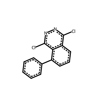 Clc1nnc(Cl)c2c(-c3ccccc3)cccc12